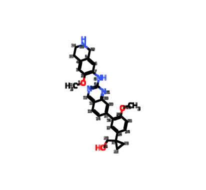 COc1cc2c(cc1Nc1ncc3ccc(-c4cc(C5(CO)CC5)ccc4OC)cc3n1)CNCC2